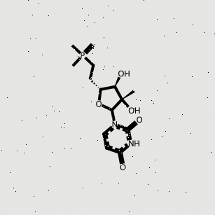 C=P(C)(C)CC[C@H]1OC(n2ccc(=O)[nH]c2=O)[C@@](C)(O)[C@@H]1O